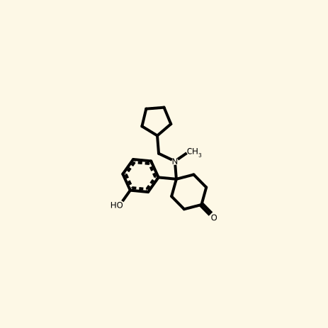 CN(CC1CCCC1)C1(c2cccc(O)c2)CCC(=O)CC1